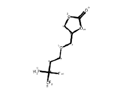 O=C1OCC(COCCC(F)(P)C(F)(F)F)O1